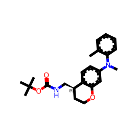 Cc1ccccc1N(C)c1ccc2c(c1)OCC[C@H]2CNC(=O)OC(C)(C)C